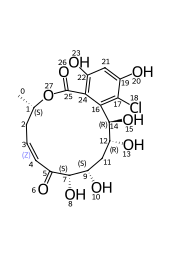 C[C@H]1C/C=C\C(=O)[C@@H](O)[C@@H](O)C[C@@H](O)[C@H](O)c2c(Cl)c(O)cc(O)c2C(=O)O1